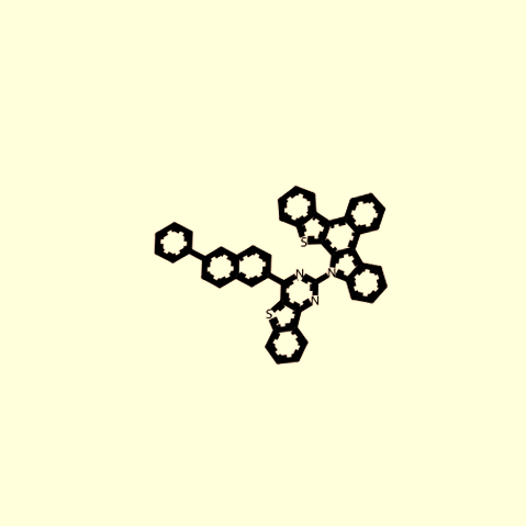 c1ccc(-c2ccc3cc(-c4nc(-n5c6ccccc6c6c7ccccc7c7c8ccccc8sc7c65)nc5c4sc4ccccc45)ccc3c2)cc1